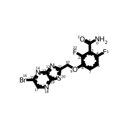 NC(=O)c1c(F)ccc(OCc2nc3nc(Br)cnc3s2)c1F